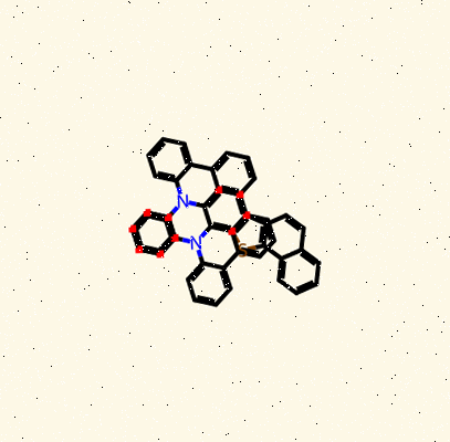 c1ccc(-c2ccccc2N(c2ccccc2)c2ccc3c(sc4c5ccccc5ccc34)c2N(c2ccccc2)c2ccccc2-c2ccccc2)cc1